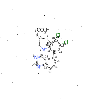 CC1CC(CC(=O)O)CN(c2ncnc3cccc(-c4ccc(Cl)c(Cl)c4)c23)C1